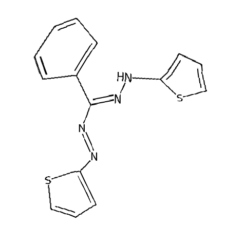 c1ccc(C(/N=N/c2cccs2)=N\Nc2cccs2)cc1